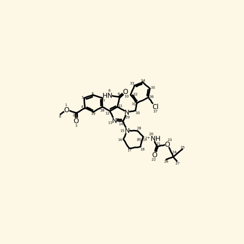 COC(=O)c1ccc2[nH]c(=O)c3c(nc(N4CCC[C@@H](NC(=O)OC(C)(C)C)C4)n3Cc3ccccc3Cl)c2c1